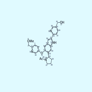 COCc1ccc(Oc2cc3cc(-c4ccc(CO)cn4)[nH]c3cc2[C@H]2CCCN2C(C)=O)cn1